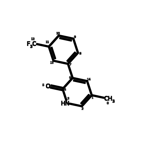 Cc1c[nH]c(=O)c(-c2cccc(C(F)(F)F)c2)c1